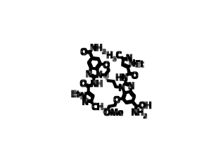 CCn1nc(C)cc1C(=O)Nc1nc2cc(C(N)O)cc(OCCOC)c2n1CCC[C@H]1COc2cc(C(N)=O)cc3nc(NC(=O)c4cc(C)nn4CC)n1c23